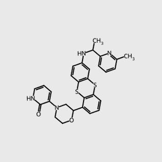 Cc1cccc(C(C)Nc2ccc3c(c2)Sc2cccc(C4CN(c5ccc[nH]c5=O)CCO4)c2S3)n1